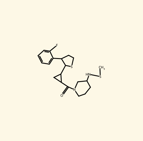 CSNC1CCCN(C(=O)C2CC2C2SCCC2c2ccccc2F)C1